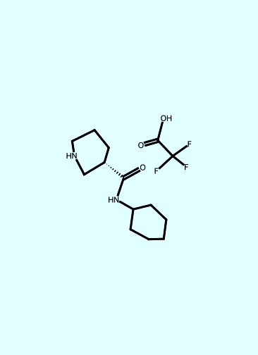 O=C(NC1CCCCC1)[C@H]1CCCNC1.O=C(O)C(F)(F)F